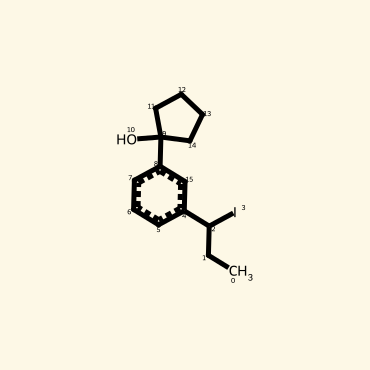 CCC(I)c1cccc(C2(O)CCCC2)c1